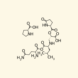 CC(C)C[C@H](NC[C@H](OC(=O)[C@@H]1CCC(=O)N1)C(=O)O)C(=O)OC(=O)C(N)CCC(N)=O.O=C(O)[C@@H]1CCCN1